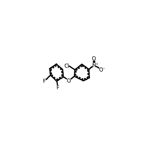 O=[N+]([O-])c1ccc(Oc2cccc(F)c2F)c(Cl)c1